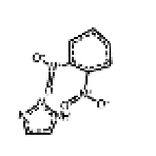 O=[N+]([O-])c1ccccc1[N+](=O)[O-].c1c[nH]nn1